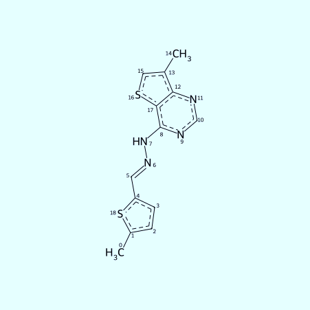 Cc1ccc(C=NNc2ncnc3c(C)csc23)s1